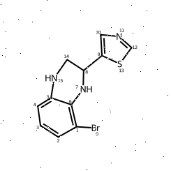 Brc1cccc2c1NC(c1cncs1)CN2